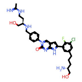 CC(=N)NCC[C@H](CO)NCc1ccc(-n2cc3cc(-c4cc(CCC[C@@H](N)CO)cc(Cl)c4F)[nH]c3nc2=O)cc1